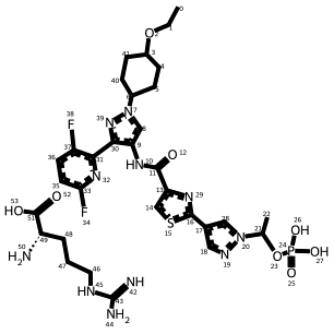 CCOC1CCC(n2cc(NC(=O)c3csc(-c4cnn(C(C)OP(=O)(O)O)c4)n3)c(-c3nc(F)ccc3F)n2)CC1.N=C(N)NCCC[C@H](N)C(=O)O